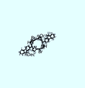 CCCCCCCCCCC1(C)c2ccccc2-c2ccc(-c3c4nc(c(Br)c5ccc([nH]5)c(-c5ccc6c(c5)C(C)(CCCCCCCC)c5ccccc5-6)c5nc(c(Br)c6ccc3[nH]6)C=C5)C=C4)cc21